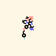 Cc1nc(-c2cnn(C)c2C)c(-c2ccc(OCCc3ccc(F)cc3)cc2)c(N2CCC(C)(C)CC2)c1C(OC(C)(C)C)C(=O)O